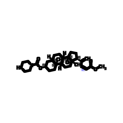 C=C(/C=C\C(=O)OC)[C@H]1CC[C@]2(O)[C@@H]3CC[C@@H]4C[C@@H](OC(=O)N5CCNCC5)CC[C@]4(C)[C@H]3CC[C@]12C